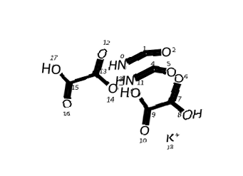 N=C=O.N=C=O.O=C(O)C(=O)O.O=C([O-])C(=O)O.[K+]